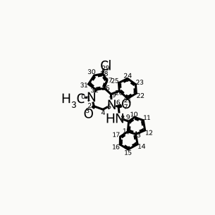 CN1C(=O)CN(C(=O)Nc2cccc3ccccc23)C(c2ccccc2)c2cc(Cl)ccc21